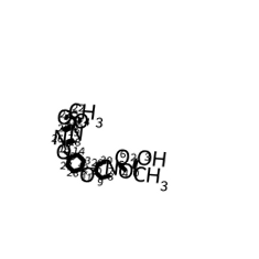 C[C@@H](CO)OC(=O)N1CCC(O[C@H]2CC[C@H](Oc3cnc(S(C)(=O)=O)cn3)CC2)CC1